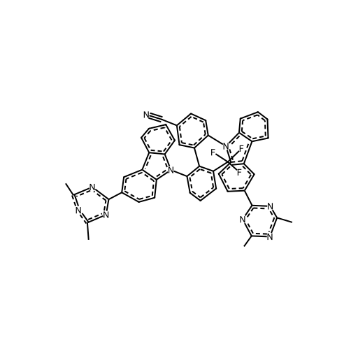 Cc1nc(C)nc(-c2ccc3c(c2)c2ccccc2n3-c2ccc(C#N)cc2-c2c(-n3c4ccccc4c4cc(-c5nc(C)nc(C)n5)ccc43)cccc2C(F)(F)F)n1